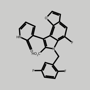 O=C(O)c1c(-c2ccc[nH]c2=O)c2c3occc3cc(F)c2n1Cc1cc(F)ccc1F